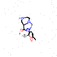 Cc1cc(N2CN3CCNCC3C2=O)c(C(F)(F)F)o1